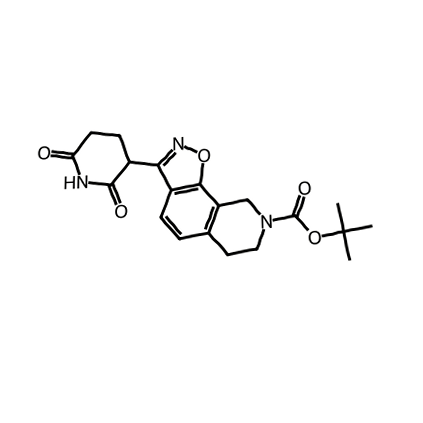 CC(C)(C)OC(=O)N1CCc2ccc3c(C4CCC(=O)NC4=O)noc3c2C1